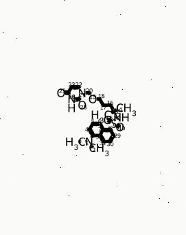 CN(C)c1cccc2c(S(=O)(=O)NC(C)(C)CCCOCn3ccc(=O)[nH]c3=O)cccc12